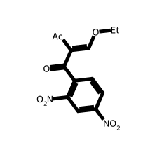 CCOC=C(C(C)=O)C(=O)c1ccc([N+](=O)[O-])cc1[N+](=O)[O-]